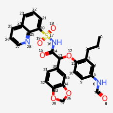 CCCc1cc(NC=O)ccc1OC(C(=O)NS(=O)(=O)c1cccc2cccnc12)c1ccc2c(c1)OCO2